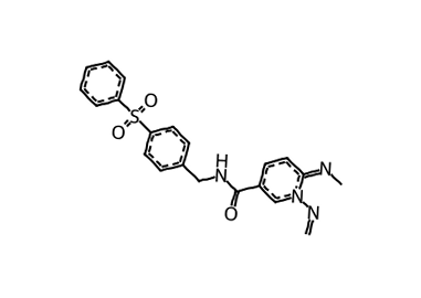 C=Nn1cc(C(=O)NCc2ccc(S(=O)(=O)c3ccccc3)cc2)cc/c1=N/C